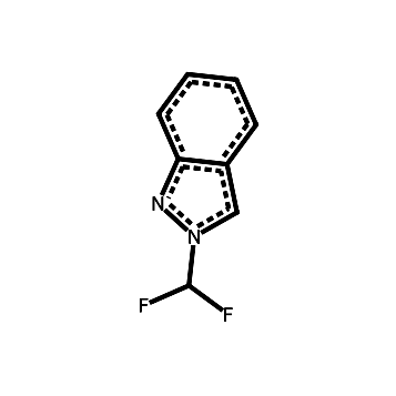 FC(F)n1cc2ccccc2n1